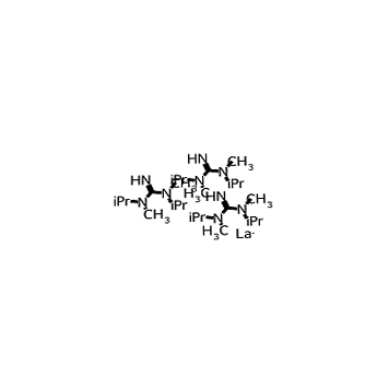 CC(C)N(C)C(=N)N(C)C(C)C.CC(C)N(C)C(=N)N(C)C(C)C.CC(C)N(C)C(=N)N(C)C(C)C.[La]